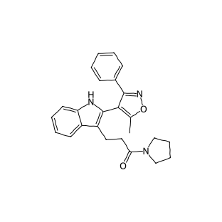 Cc1onc(-c2ccccc2)c1-c1[nH]c2ccccc2c1CCC(=O)N1CCCC1